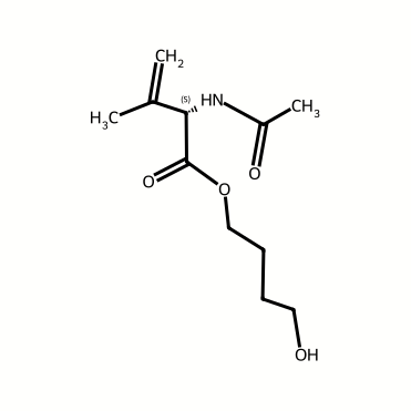 C=C(C)[C@H](NC(C)=O)C(=O)OCCCCO